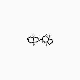 C1=CC[C@H]2CN(C3CO[C@H]4CCC[C@H]4N3)C[C@H]2C1